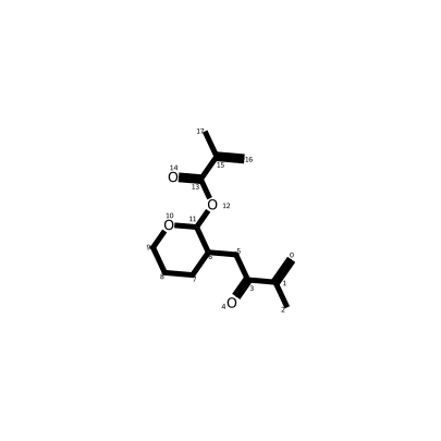 C=C(C)C(=O)CC1CCCOC1OC(=O)C(=C)C